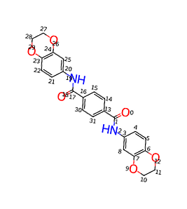 O=C(Nc1ccc2c(c1)OCCO2)c1ccc(C(=O)Nc2ccc3c(c2)OCCO3)cc1